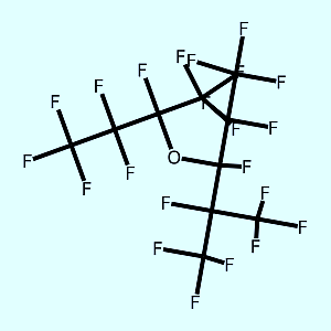 FC(F)(F)C(F)(F)C(F)(OC(F)(C(F)(F)C(F)(F)F)C(F)(C(F)(F)F)C(F)(F)F)C(F)(F)F